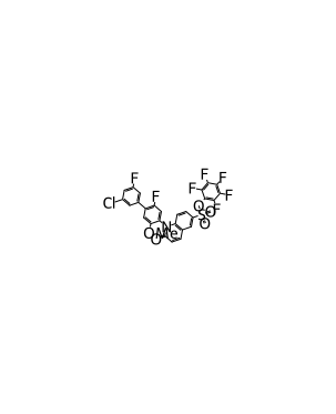 COc1cc(-c2cc(F)cc(Cl)c2)c(F)cc1-n1c(=O)ccc2cc(S(=O)(=O)Oc3c(F)c(F)c(F)c(F)c3F)ccc21